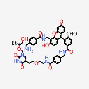 CC[C@@H](CO)OCn1cc(CCOCCNC(=O)c2ccc(CNC(=O)c3ccc(C=O)c(-c4c5ccc(=O)cc-5oc5c(CNC(=O)c6ccc(CN)cc6)c(O)ccc45)c3)cc2)c(=O)[nH]c1=O